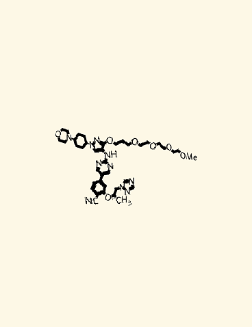 COCCOCCOCCOCCCOc1nn([C@H]2CC[C@H](N3CCOCC3)CC2)cc1Nc1ncc(-c2ccc(C#N)c(O[C@@H](C)Cn3cncn3)c2)cn1